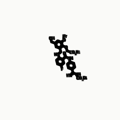 CCOC(=O)COc1c(CNc2ccc(F)cc2C(=O)Nc2ccc(C(=N)NC(=O)OCC)cc2)cc(CO)cc1OC(C)C